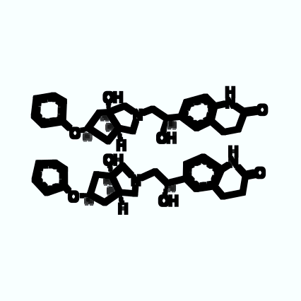 O=C1CCc2cc([C@@H](O)CN3C[C@H]4C[C@H](Oc5ccccc5)C[C@@]4(O)C3)ccc2N1.O=C1CCc2cc([C@H](O)CN3C[C@H]4C[C@H](Oc5ccccc5)C[C@@]4(O)C3)ccc2N1